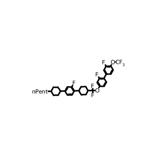 CCCCCC1CCC(c2ccc(C3CCC(C(F)(F)Oc4ccc(-c5ccc(OC(F)(F)F)c(F)c5)c(F)c4)CC3)c(F)c2)CC1